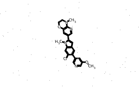 COc1cncc(-c2cc3cc(-c4cnc5c(c4)OCCN5C)n(C)c3cc2Cl)c1